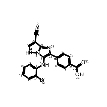 N#Cc1c[nH]n2c(Nc3ccccc3Br)c(-c3ccc(C(=O)O)cc3)nc12